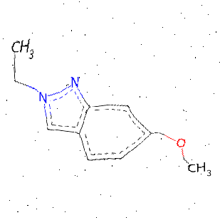 CCn1cc2ccc(OC)cc2n1